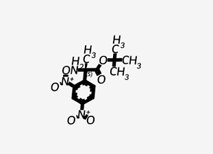 CC(C)(C)OC(=O)[C@@](C)(N)c1ccc([N+](=O)[O-])cc1[N+](=O)[O-]